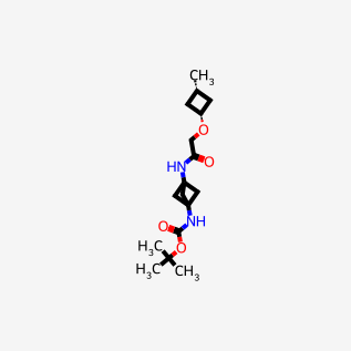 CC(C)(C)OC(=O)NC12CC(NC(=O)CO[C@H]3C[C@@H](C)C3)(C1)C2